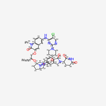 CNC(=O)COc1cc2cc(Nc3nc(N4CCC(O[C@H]5C[C@H](N6C7CCC6CN(c6ccc8c(c6)CN(C6CCC(=O)NC6=O)C8=O)C7)C5)CC4)ncc3Cl)ccc2n(C(C)C)c1=O